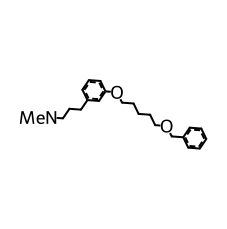 CNCCCc1cccc(OCCCCCOCc2ccccc2)c1